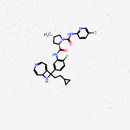 C[C@H]1C[C@H](C(=O)Nc2cc(C3(CCC4CC4)NC4C=CN=CC=C43)ccc2F)N(C(=O)Nc2ccc(Cl)cn2)C1